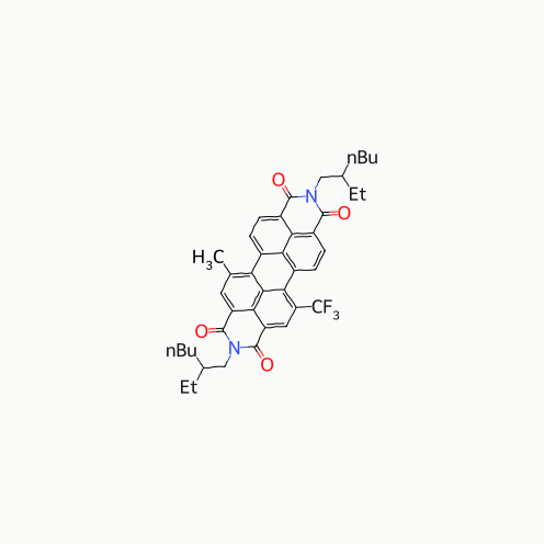 CCCCC(CC)CN1C(=O)c2ccc3c4c(C)cc5c6c(cc(C(F)(F)F)c(c7ccc(c2c37)C1=O)c64)C(=O)N(CC(CC)CCCC)C5=O